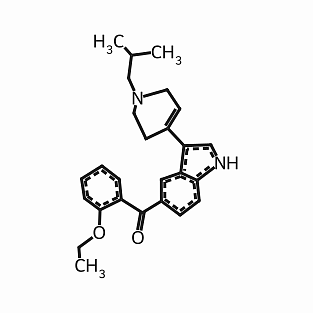 CCOc1ccccc1C(=O)c1ccc2[nH]cc(C3=CCN(CC(C)C)CC3)c2c1